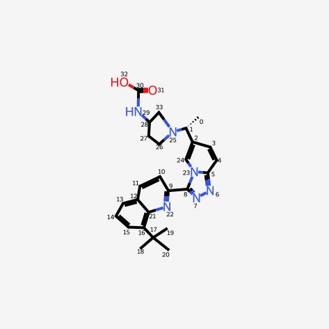 C[C@H](c1ccc2nnc(-c3ccc4cccc(C(C)(C)C)c4n3)n2c1)N1CCC(NC(=O)O)C1